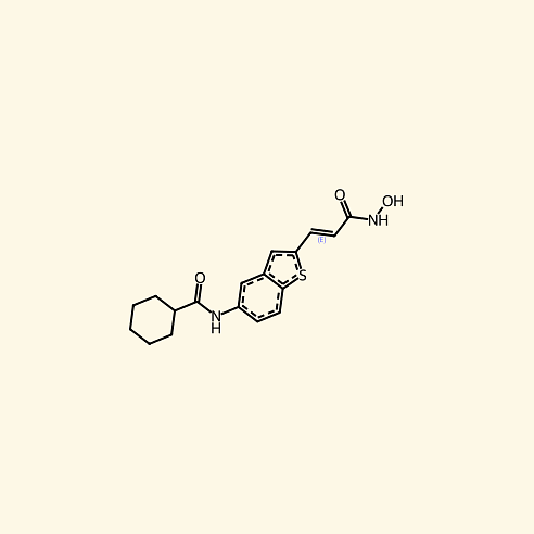 O=C(/C=C/c1cc2cc(NC(=O)C3CCCCC3)ccc2s1)NO